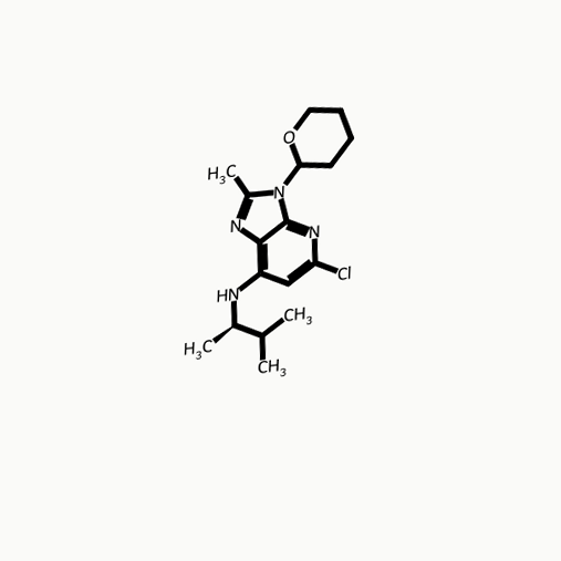 Cc1nc2c(N[C@H](C)C(C)C)cc(Cl)nc2n1C1CCCCO1